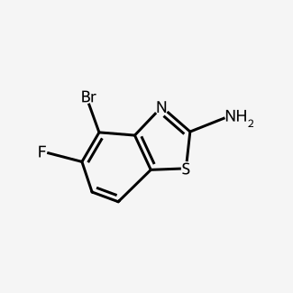 Nc1nc2c(Br)c(F)ccc2s1